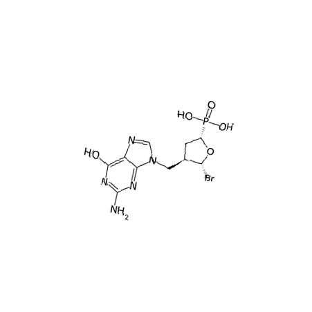 Nc1nc(O)c2ncn(C[C@H]3C[C@H](P(=O)(O)O)O[C@@H]3Br)c2n1